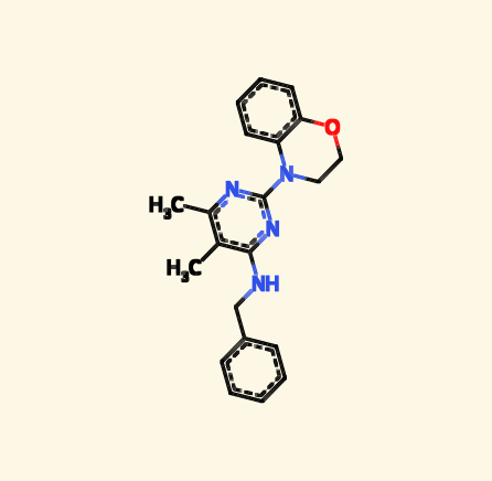 Cc1nc(N2CCOc3ccccc32)nc(NCc2ccccc2)c1C